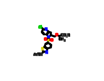 CC(=O)Nc1nc2ccc(S(=O)(=O)n3c(COC(C)C(=O)O)cc4nc(Cl)ccc43)cc2s1